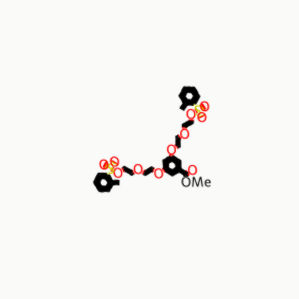 COC(=O)c1cc(OCCOCCOS(=O)(=O)c2ccccc2C)cc(OCCOCCOS(=O)(=O)c2ccccc2C)c1